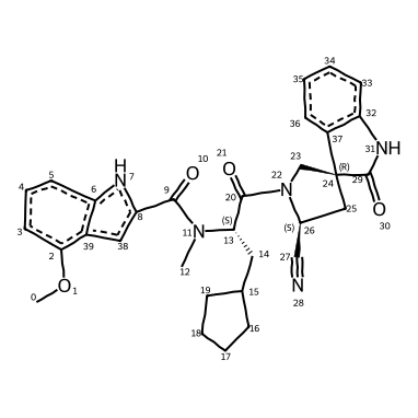 COc1cccc2[nH]c(C(=O)N(C)[C@@H](CC3CCCC3)C(=O)N3C[C@]4(C[C@H]3C#N)C(=O)Nc3ccccc34)cc12